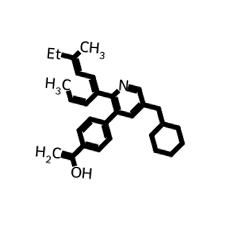 C=C(O)c1ccc(-c2cc(CC3CCCCC3)cnc2C(/C=C\C)=C/C=C(\C)CC)cc1